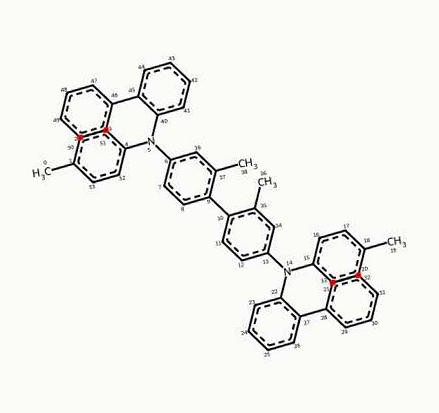 Cc1ccc(N(c2ccc(-c3ccc(N(c4ccc(C)cc4)c4ccccc4-c4ccccc4)cc3C)c(C)c2)c2ccccc2-c2ccccc2)cc1